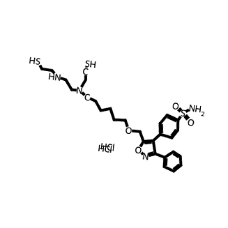 Cl.Cl.NS(=O)(=O)c1ccc(-c2c(-c3ccccc3)noc2COCCCCCCN(CCS)CCNCCS)cc1